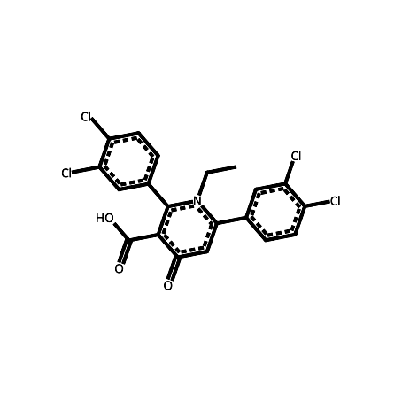 CCn1c(-c2ccc(Cl)c(Cl)c2)cc(=O)c(C(=O)O)c1-c1ccc(Cl)c(Cl)c1